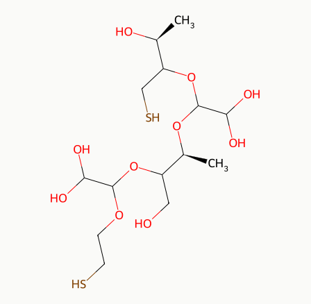 C[C@H](O)C(CS)OC(O[C@@H](C)C(CO)OC(OCCS)C(O)O)C(O)O